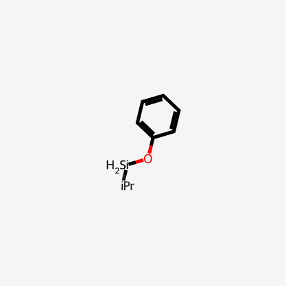 CC(C)[SiH2]Oc1ccccc1